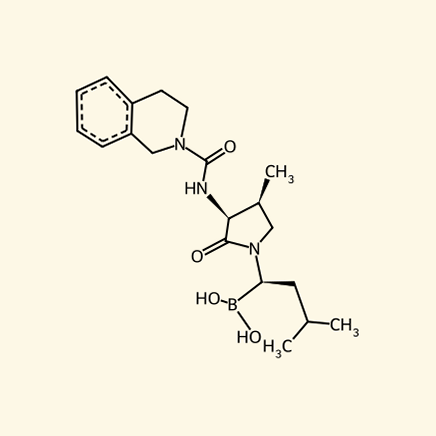 CC(C)C[C@@H](B(O)O)N1C[C@H](C)[C@H](NC(=O)N2CCc3ccccc3C2)C1=O